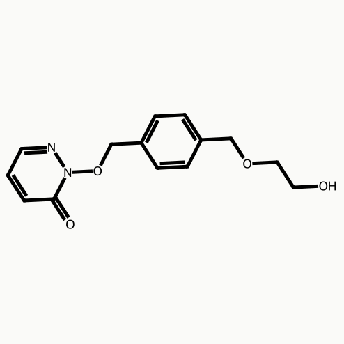 O=c1cccnn1OCc1ccc(COCCO)cc1